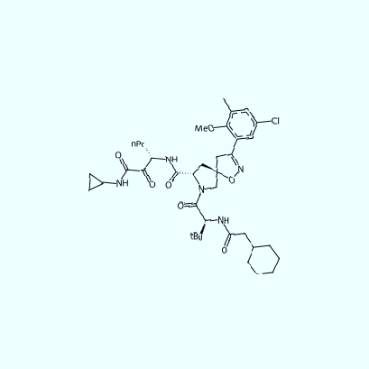 CCC[C@H](NC(=O)[C@@H]1C[C@]2(CC(c3cc(Cl)cc(C)c3OC)=NO2)CN1C(=O)[C@@H](NC(=O)CC1CCCCC1)C(C)(C)C)C(=O)C(=O)NC1CC1